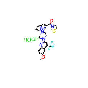 COc1ccc2nc(N3CCN([N@@+]45C=CC=C4C=C(C(=O)N4CCSC4)C5)CC3)cc(C(F)(F)F)c2c1.Cl.Cl